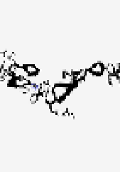 CCC(CNC(=O)/N=c1\scc(C)n1-c1ccccc1C(C)C)c1ccc(-c2ncn(-c3ccc(OC(F)(F)F)cc3)n2)cc1